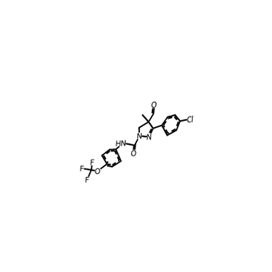 CC1(C=O)CN(C(=O)Nc2ccc(OC(F)(F)F)cc2)N=C1c1ccc(Cl)cc1